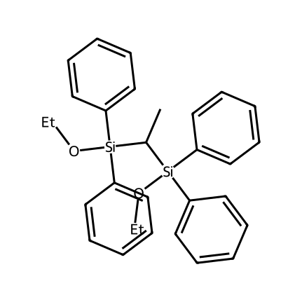 CCO[Si](c1ccccc1)(c1ccccc1)C(C)[Si](OCC)(c1ccccc1)c1ccccc1